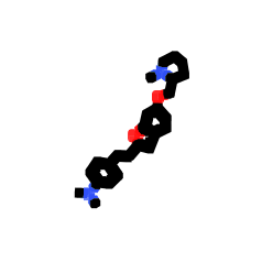 CN(C)c1ccc(C=Cc2cc3ccc(OCC4CCCCN4C)cc3o2)cc1